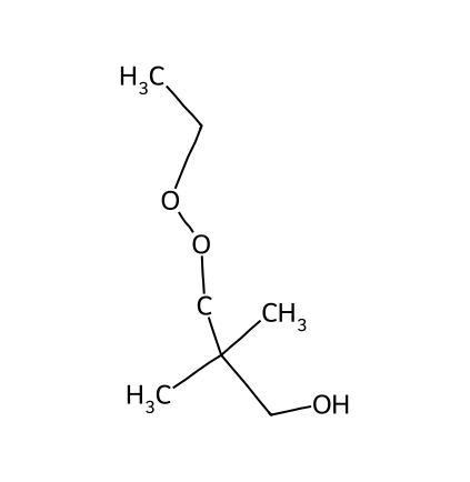 CCOOCC(C)(C)CO